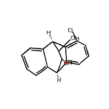 OC1C(O)[C@H]2c3ccccc3[C@@H]1c1cccc(Cl)c12